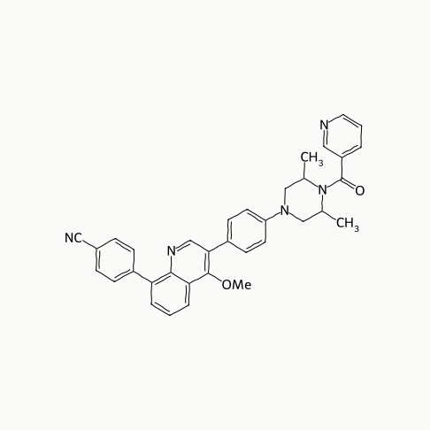 COc1c(-c2ccc(N3CC(C)N(C(=O)c4cccnc4)C(C)C3)cc2)cnc2c(-c3ccc(C#N)cc3)cccc12